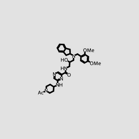 COc1ccc(CN(CC(O)CNC(=O)c2cncc(NC3CCN(C(C)=O)CC3)n2)C2Cc3ccccc3C2)c(OC)c1